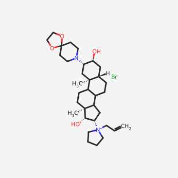 C=CC[N+]1([C@H]2CC3C4CC[C@H]5C[C@H](O)[C@@H](N6CCC7(CC6)OCCO7)C[C@]5(C)C4CC[C@]3(C)[C@H]2O)CCCC1.[Br-]